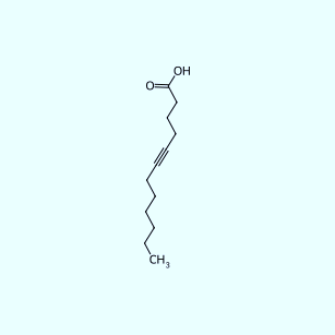 CCCCCCC#CCCCC(=O)O